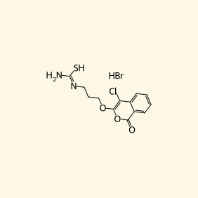 Br.NC(S)=NCCCOc1oc(=O)c2ccccc2c1Cl